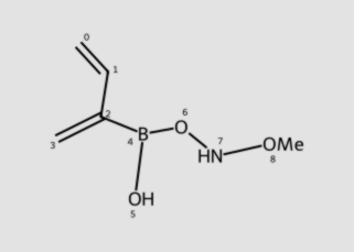 C=CC(=C)B(O)ONOC